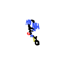 Cc1c(CN(C)C(=O)/C=C/c2cnc3c(c2)CNCCN3)sc2ccccc12